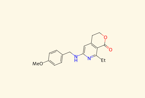 CCc1nc(NCc2ccc(OC)cc2)cc2c1C(=O)OCC2